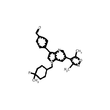 Cc1noc(C)c1-c1cnc2c(-c3ccc(C=O)cc3)cn(CC3CCC(C)(F)CC3)c2c1